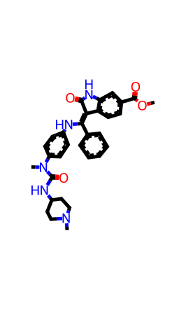 COC(=O)c1ccc2c(c1)NC(=O)/C2=C(\Nc1ccc(N(C)C(=O)NC2CCN(C)CC2)cc1)c1ccccc1